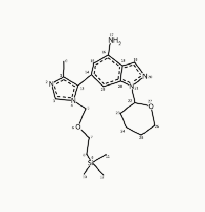 Cc1ncn(COCC[Si](C)(C)C)c1-c1cc(N)c2cnn(C3CCCCO3)c2c1